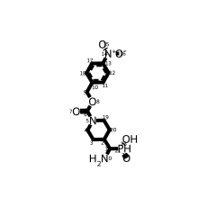 NC(C1CCN(C(=O)OCc2ccc([N+](=O)[O-])cc2)CC1)[PH](=O)O